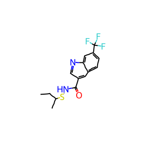 CCC(C)SNC(=O)c1cnc2cc(C(F)(F)F)ccc2c1